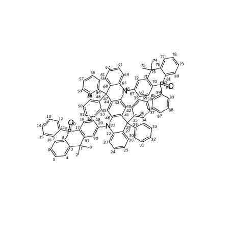 CC1(C)c2ccccc2P(=O)(c2ccccc2)c2ccc(N3c4ccccc4C(c4ccccc4)(c4ccccc4)c4cc5c(cc43)C(c3ccccc3)(c3ccccc3)c3ccccc3N5c3ccc4c(c3)C(C)(C)c3ccccc3P4(=O)c3ccccc3)cc21